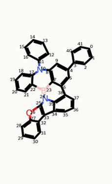 c1ccc(-c2cc3c4c(c2)N(c2ccccc2)c2ccccc2B4n2c4oc5ccccc5c4c4cccc-3c42)cc1